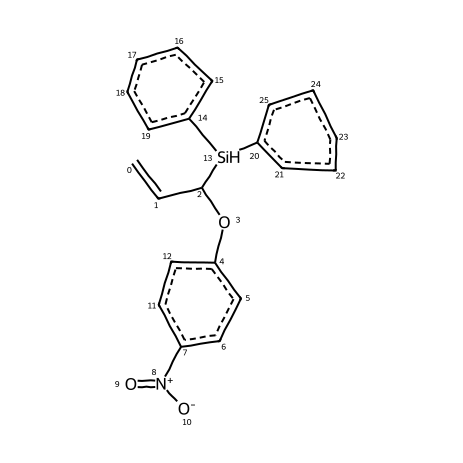 C=CC(Oc1ccc([N+](=O)[O-])cc1)[SiH](c1ccccc1)c1ccccc1